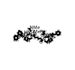 CN[C@@H](C)C(=O)N[C@H]1CN(C(=O)CCCCC(=O)N2CC[C@H]3CC[C@@H](c4ncc(-c5ccccc5)s4)N3C(=O)[C@@H](NC(=O)[C@H](C)NC)C2)CC[C@H]2CC[C@@H](c3nc4cccc(-c5ccccc5)c4[nH]3)N2C1=O